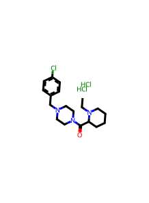 CCN1CCCCC1C(=O)N1CCN(Cc2ccc(Cl)cc2)CC1.Cl.Cl